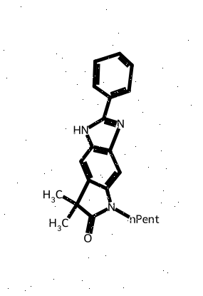 CCCCCN1C(=O)C(C)(C)c2cc3[nH]c(-c4ccccc4)nc3cc21